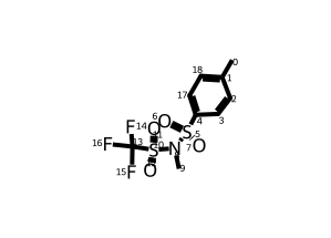 Cc1ccc(S(=O)(=O)N(C)S(=O)(=O)C(F)(F)F)cc1